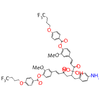 COc1cc(/C=C/C(=O)CC(Cc2ccc(N)cc2)C(O)(O)C(=O)/C=C/c2ccc(OC(=O)c3ccc(OCCCC(F)(F)F)cc3)c(OC)c2)ccc1OC(=O)c1ccc(OCCCC(F)(F)F)cc1